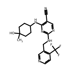 CC1(O)CCC(Nc2nc(NCc3cnccc3C(F)(F)F)ncc2C#N)CC1